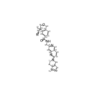 Cn1ncc2c1CCN(c1ccc3cnc(CNC(=O)c4ccc5c(c4)[C@](C)(C#N)COC5)cc3n1)C2